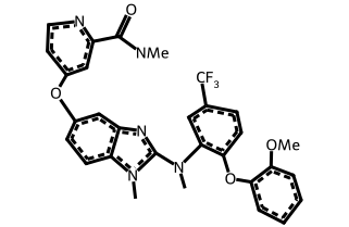 CNC(=O)c1cc(Oc2ccc3c(c2)nc(N(C)c2cc(C(F)(F)F)ccc2Oc2ccccc2OC)n3C)ccn1